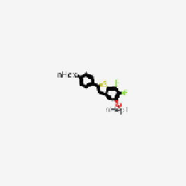 CCCCCCCOc1cc2cc(-c3ccc(CCCCCC)cc3)sc2c(F)c1F